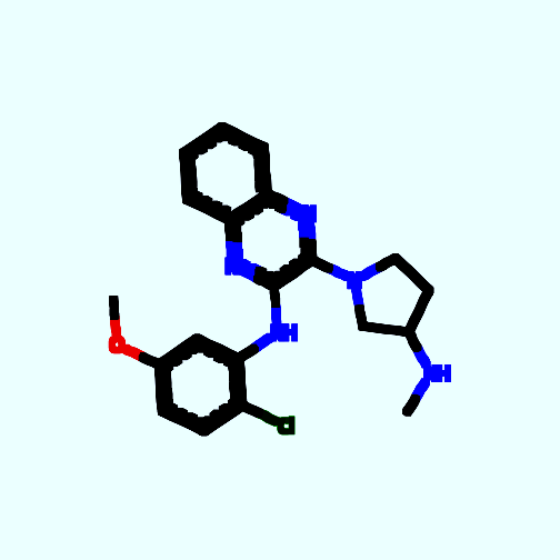 CNC1CCN(c2nc3ccccc3nc2Nc2cc(OC)ccc2Cl)C1